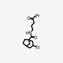 CCC1CC2CCC(C(=O)NCCCC(=O)C(C)C)(C1)C2